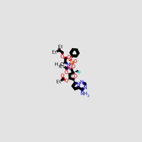 CCC(=O)O[C@H]1[C@H](c2ccc3c(N)ncnn23)O[C@](CF)(COP(=O)(N[C@@H](C)C(=O)OCC(CC)CC)Oc2ccccc2)[C@H]1OC(=O)CC